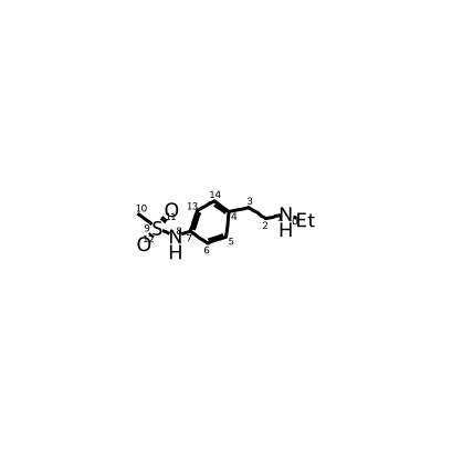 CCNCCc1ccc(NS(C)(=O)=O)cc1